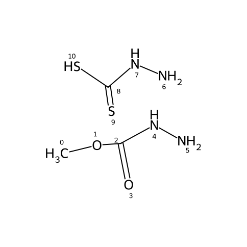 COC(=O)NN.NNC(=S)S